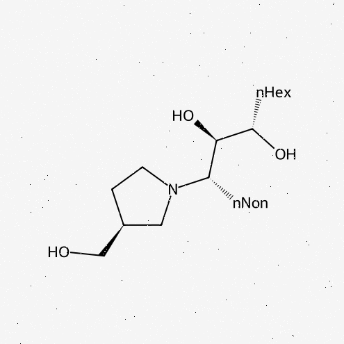 CCCCCCCCC[C@@H]([C@@H](O)[C@@H](O)CCCCCC)N1CC[C@H](CO)C1